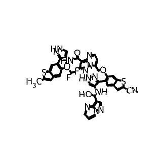 Cc1cc2cc(OC(F)F)c(-c3n[nH]cc3NC(=O)c3cnn4c(COc5cc6sc(C#N)cc6cc5-c5n[nH]cc5NC(O)c5cnn6cccnc56)ccnc34)cc2s1